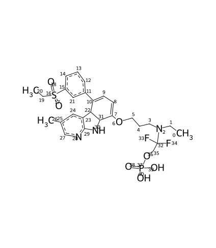 CCN(CCCOC1=CC=C(c2cccc(S(=O)(=O)CC)c2)C2c3cc(C)cnc3NC12)C(F)(F)COP(=O)(O)O